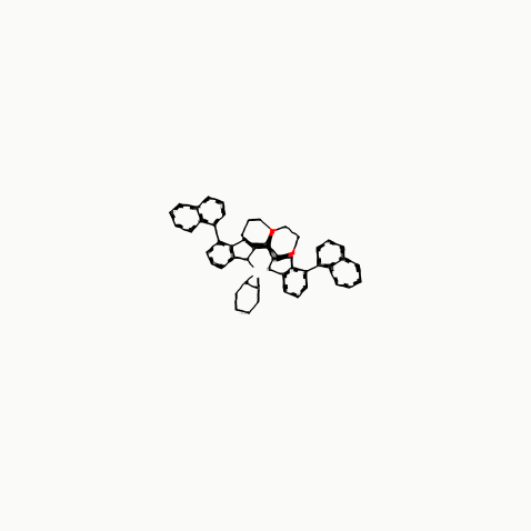 C1=C(C2CCCCC2)[CH]([Ti+2]2([CH]3C(C4CCCCC4)=Cc4c(-c5cccc6ccccc56)cccc43)[CH]3CCCC[CH]32)c2cccc(-c3cccc4ccccc34)c21.[Cl-].[Cl-]